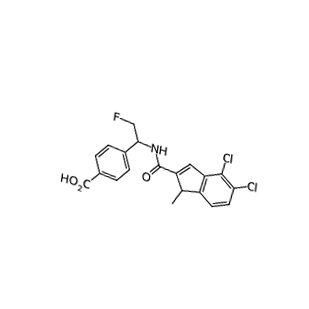 CC1C(C(=O)NC(CF)c2ccc(C(=O)O)cc2)=Cc2c1ccc(Cl)c2Cl